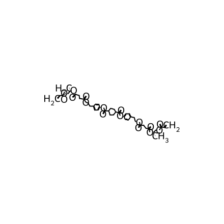 C=CC(=O)OC[C@H](C)OC(=O)CCC(=O)OCCc1ccc(OC(=O)C2CCC(C(=O)Oc3ccc(CCOC(=O)CCC(=O)O[C@@H](C)COC(=O)C=C)cc3)CC2)cc1